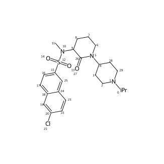 CC(C)N1CCC(N2CCCC(N(C)S(=O)(=O)c3ccc4cc(Cl)ccc4c3)C2=O)CC1